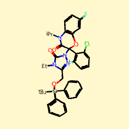 CCn1c(CO[Si](c2ccccc2)(c2ccccc2)C(C)(C)C)nn(C2(c3c(F)cccc3Cl)Oc3cc(F)ccc3N(C(C)C)C2=O)c1=O